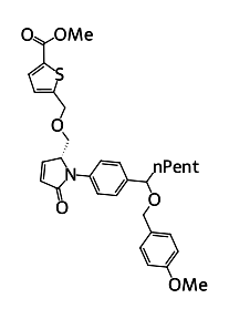 CCCCCC(OCc1ccc(OC)cc1)c1ccc(N2C(=O)C=C[C@@H]2COCc2ccc(C(=O)OC)s2)cc1